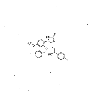 COc1ccc([C@H]2NC(=O)O[C@@H]2CCC(O)c2ccc(F)cc2)c(OCc2ccccc2)c1